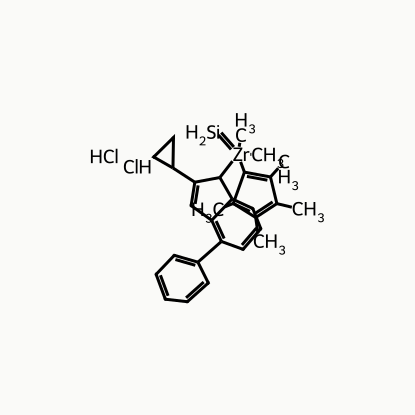 CC1=C(C)C(C)[C]([Zr]([CH3])([CH3])(=[SiH2])[CH]2C(C3CC3)=Cc3c(-c4ccccc4)cccc32)=C1C.Cl.Cl